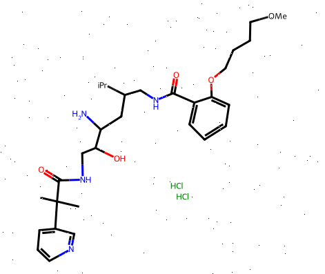 COCCCCOc1ccccc1C(=O)NCC(CC(N)C(O)CNC(=O)C(C)(C)c1cccnc1)C(C)C.Cl.Cl